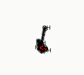 CC(=O)O[C@H]1C(=O)[C@@]2(C)[C@H]([C@H](OC(=O)c3ccccc3)[C@]3(O)C[C@H](OC(=O)[C@H](OC(=O)CCCCCCC/C=C/CCCCCCCC(=O)O)[C@@H](NC(=O)c4ccccc4)c4ccccc4)C(C)=C1C3(C)C)[C@]1(OC(C)=O)CO[C@@H]1C[C@@H]2O